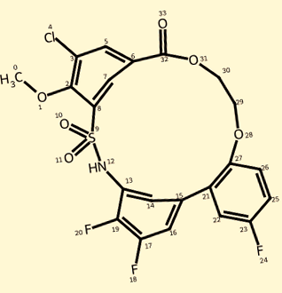 COc1c(Cl)cc2cc1S(=O)(=O)Nc1cc(cc(F)c1F)-c1cc(F)ccc1OCCOC2=O